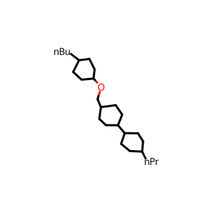 CCCCC1CCC(OCC2CCC(C3CCC(CCC)CC3)CC2)CC1